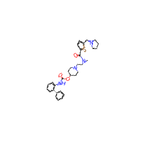 CN(CCN1CCC(OC(=O)Nc2ccccc2-c2ccccc2)CC1)C(=O)c1ccc(CN2CCCC2)s1